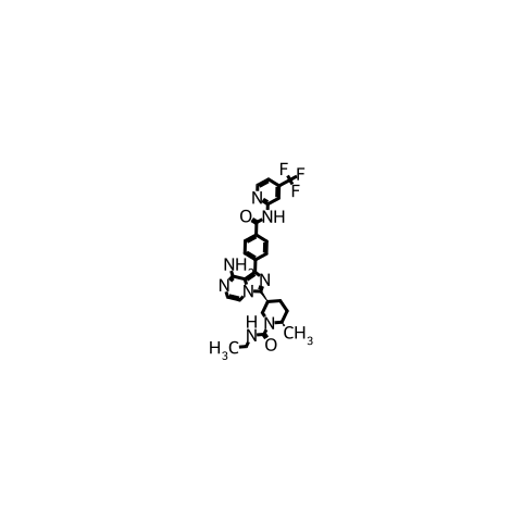 CCNC(=O)N1C[C@@H](c2nc(-c3ccc(C(=O)Nc4cc(C(F)(F)F)ccn4)cc3)c3c(N)nccn23)CC[C@@H]1C